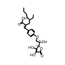 CCCCC(CC)C/C(=C\c1ccc(OC[C@@H](O)[C@H]2OC(=O)C(O)=C2O)cc1)C(=O)O